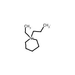 [CH2]CC[N+]1(CC)CCCCC1